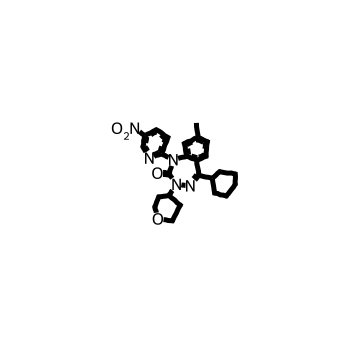 Cc1ccc2c(c1)N(c1ccc([N+](=O)[O-])cn1)C(=O)N(C1CCOCC1)N=C2C1CCCCC1